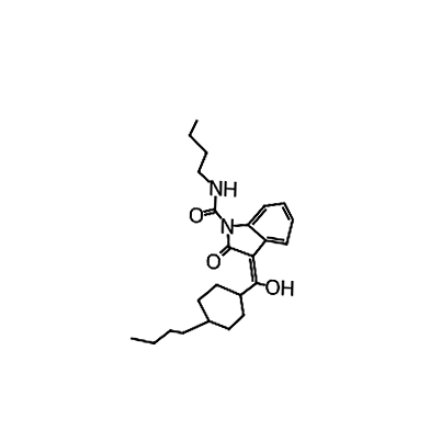 CCCCNC(=O)N1C(=O)C(=C(O)C2CCC(CCCC)CC2)c2ccccc21